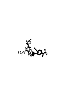 Cc1ncc(-c2cn3c(-c4cc(C(C)C(F)F)ccc4C)cnc3c(N)n2)o1